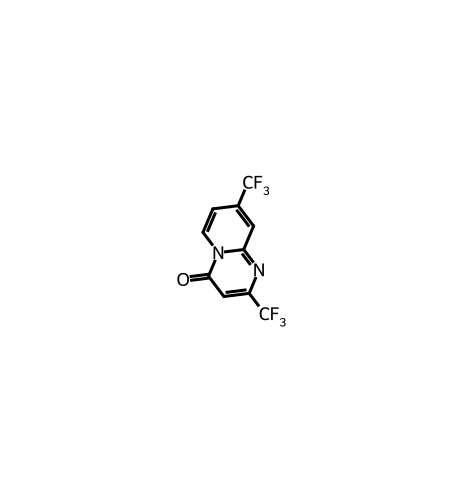 O=c1cc(C(F)(F)F)nc2cc(C(F)(F)F)ccn12